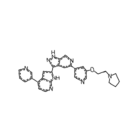 c1cncc(-c2ccnc3[nH]c(-c4n[nH]c5cnc(-c6cncc(OCCN7CCCC7)c6)cc45)cc23)c1